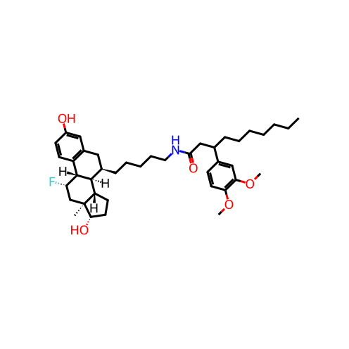 CCCCCCCC(CC(=O)NCCCCC[C@@H]1Cc2cc(O)ccc2[C@@H]2[C@@H]1[C@@H]1CC[C@H](O)[C@@]1(C)C[C@@H]2F)c1ccc(OC)c(OC)c1